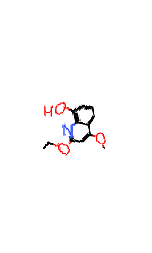 CCOc1cc(OC)c2cccc(O)c2n1